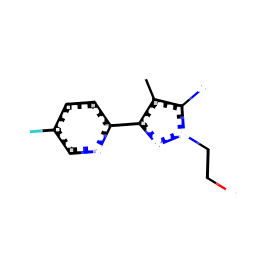 Cc1c(-c2ccc(F)cn2)nn(CCO)c1N